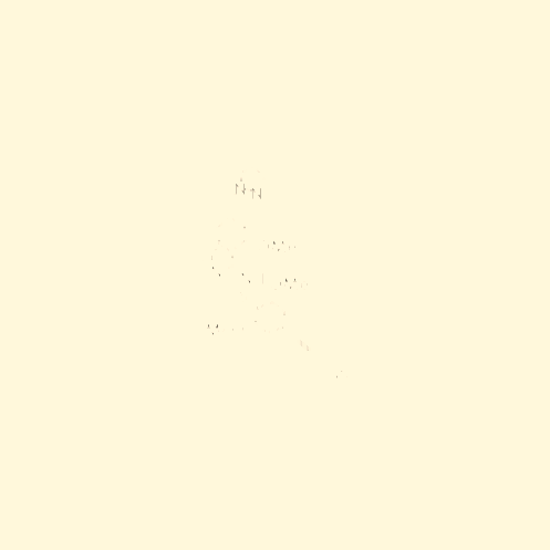 COc1cc(C#CC2COC2)cc(OC)c1SNc1noc2cc(Cn3cccn3)cc(OC)c12